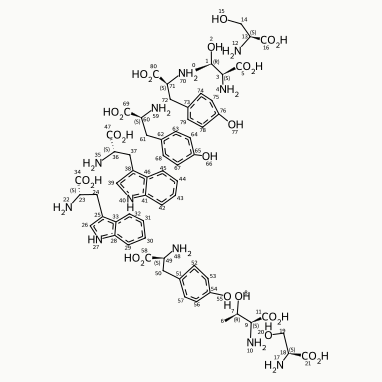 C[C@@H](O)[C@H](N)C(=O)O.C[C@@H](O)[C@H](N)C(=O)O.N[C@@H](CO)C(=O)O.N[C@@H](CO)C(=O)O.N[C@@H](Cc1c[nH]c2ccccc12)C(=O)O.N[C@@H](Cc1c[nH]c2ccccc12)C(=O)O.N[C@@H](Cc1ccc(O)cc1)C(=O)O.N[C@@H](Cc1ccc(O)cc1)C(=O)O.N[C@@H](Cc1ccc(O)cc1)C(=O)O